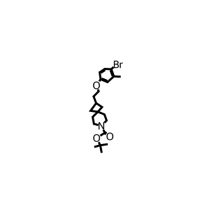 Cc1cc(OCCC2CC3(CCN(C(=O)OC(C)(C)C)CC3)C2)ccc1Br